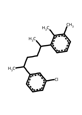 Cc1cccc(C(C)CCC(C)c2cccc(Cl)c2)c1C